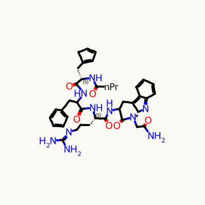 CCCC(=O)N[C@@H](CC1=CC=CC1)C(=O)NC(Cc1ccccc1)C(=O)N[C@@H](CCCN=C(N)N)C(=O)NC(CC1=c2ccccc2=NC1)C(=O)N(C)CC(N)=O